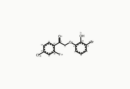 O=C(COc1cccc(Br)c1O)c1ccc(Cl)cc1F